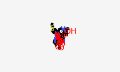 CCCSc1ccc2[nH]c3c(c2c1)CCN1C[C@H](C[C@@](O)(CC)C1)C[C@]3(C(=O)OC)c1cc2c(cc1OC)N(C)[C@@]13O[C@]1(C(=O)OC)[C@H](OC(C)=O)[C@]1(CC)C=CCN4CC[C@]23[C@@H]41